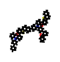 c1ccc(-c2ccc(N(c3ccccc3)c3cccc4c3oc3ccc5c6ccc7cc(-c8ccc(N(c9ccc(-c%10cccc%11c%10oc%10ccccc%10%11)cc9)c9cccc%10c9oc9ccc%11c%12ccc%13ccccc%13c%12sc%11c9%10)cc8)ccc7c6sc5c34)cc2)cc1